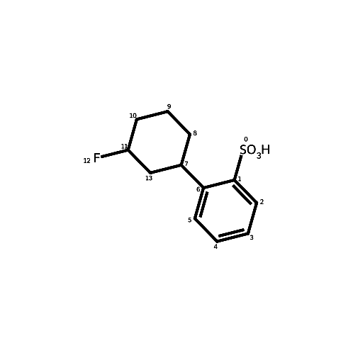 O=S(=O)(O)c1ccccc1C1CCCC(F)C1